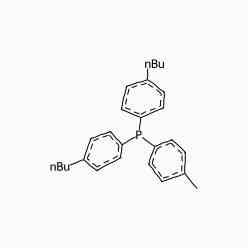 CCCCc1ccc(P(c2ccc(C)cc2)c2ccc(CCCC)cc2)cc1